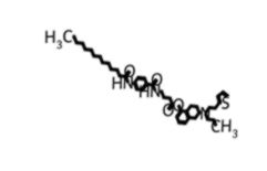 CCCCCCCCCCCCCC(=O)Nc1ccc(C(=O)NCCCC(=O)Oc2cccc3c2CCC(N(CCC)CCc2cccs2)C3)cc1